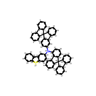 c1ccc2c(c1)-c1ccccc1C21c2ccccc2-c2cc(N(c3ccc4sc5ccccc5c4c3)c3cccc4c3-c3ccccc3C43c4ccccc4-c4ccccc43)ccc21